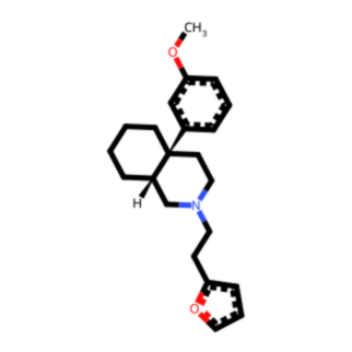 COc1cccc([C@]23CCCC[C@H]2CN(CCc2ccco2)CC3)c1